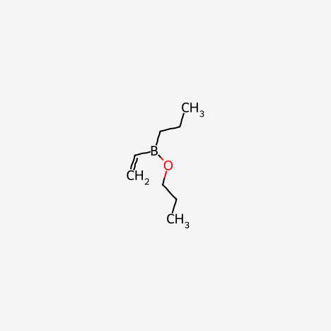 C=CB(CCC)OCCC